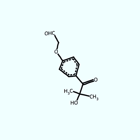 CC(C)(O)C(=O)c1ccc(OCC=O)cc1